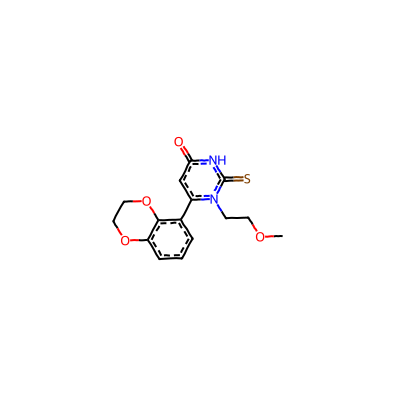 COCCn1c(-c2cccc3c2OCCO3)cc(=O)[nH]c1=S